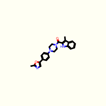 Cc1ncc(-c2ccc(N3CCN(C(=O)c4[nH]c5ccccc5c4C)CC3)cc2)o1